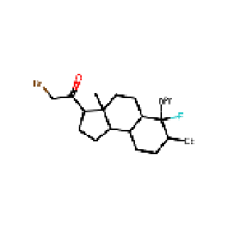 CCCC1(F)C(CC)CCC2C3CCC(C(=O)CBr)C3(C)CCC21